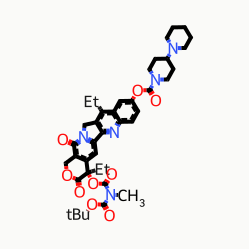 CCc1c2c(nc3ccc(OC(=O)N4CCC(N5CCCCC5)CC4)cc13)-c1cc3c(c(=O)n1C2)COC(=O)C3(CC)OC(=O)N(C)C(=O)OC(C)(C)C